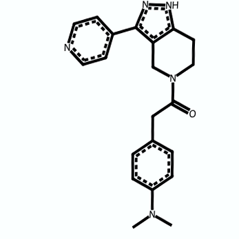 CN(C)c1ccc(CC(=O)N2CCc3[nH]nc(-c4ccncc4)c3C2)cc1